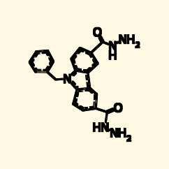 NNC(=O)c1ccc2c(c1)c1cc(C(=O)NN)ccc1n2Cc1ccccc1